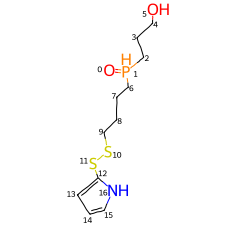 O=[PH](CCCO)CCCCSSc1ccc[nH]1